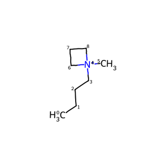 CCCC[N+]1(C)CCC1